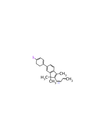 C=C/C=C\C1=C(C)c2ccc(C3=CC=C(I)CC3)cc2C1(C)C